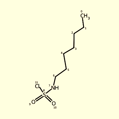 CCCCCCCNS(=O)(=O)Cl